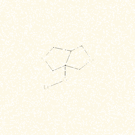 CCOC12COCC1COC2